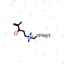 C=C(C)C(=O)CC[N+](C)(C)CCCCCCCC